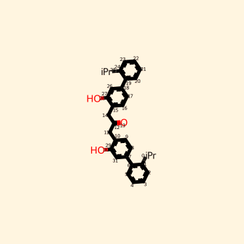 CC(C)c1ccccc1-c1ccc(CC(=O)Cc2ccc(-c3ccccc3C(C)C)cc2O)c(O)c1